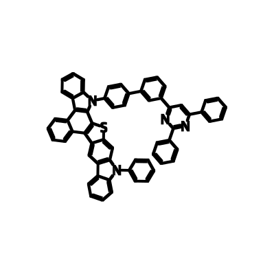 c1ccc(-c2cc(-c3cccc(-c4ccc(-n5c6ccccc6c6c7ccccc7c7c8cc9c%10ccccc%10n(-c%10ccccc%10)c9cc8sc7c65)cc4)c3)nc(-c3ccccc3)n2)cc1